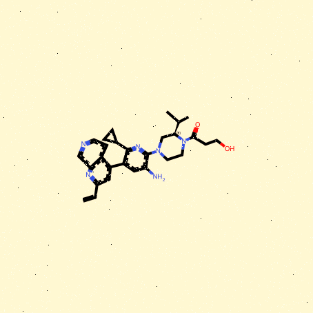 C=Cc1cc(-c2cc(N)c(N3CCN(C(=O)CCO)[C@H](C(C)C)C3)nc2C2CC2)c2ccncc2n1